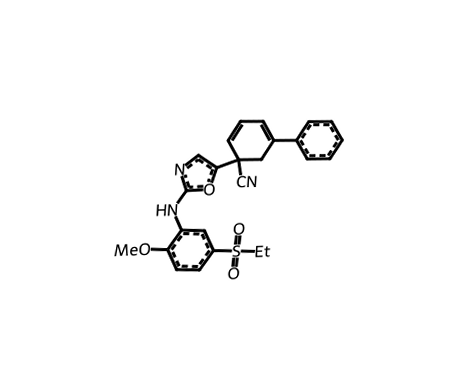 CCS(=O)(=O)c1ccc(OC)c(Nc2ncc(C3(C#N)C=CC=C(c4ccccc4)C3)o2)c1